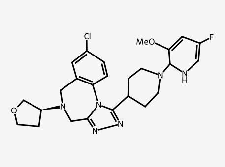 COC1=CC(F)=CNC1N1CCC(c2nnc3n2-c2ccc(Cl)cc2CN([C@H]2CCOC2)C3)CC1